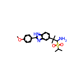 COc1ccc(-c2nc3cc(C(C)(C)C(N)S(=O)(=O)C(C)C)ccc3[nH]2)cc1